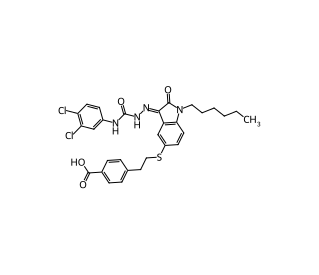 CCCCCCN1C(=O)/C(=N/NC(=O)Nc2ccc(Cl)c(Cl)c2)c2cc(SCCc3ccc(C(=O)O)cc3)ccc21